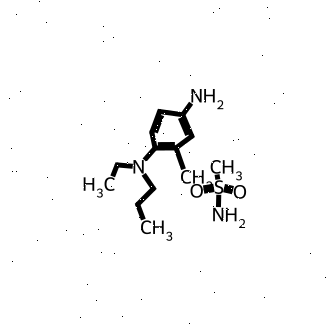 CCCN(CC)c1ccc(N)cc1C.CS(N)(=O)=O